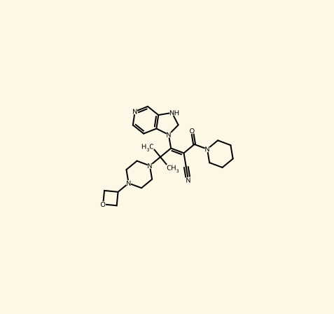 CC(C)(C(=C(C#N)C(=O)N1CCCCC1)N1CNc2cnccc21)N1CCN(C2COC2)CC1